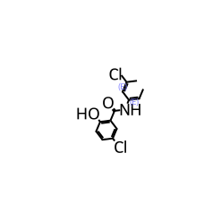 C/C=C(\C=C(/C)Cl)NC(=O)c1cc(Cl)ccc1O